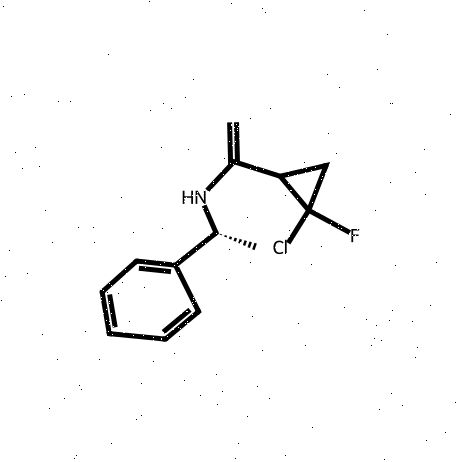 C=C(N[C@H](C)c1ccccc1)C1CC1(F)Cl